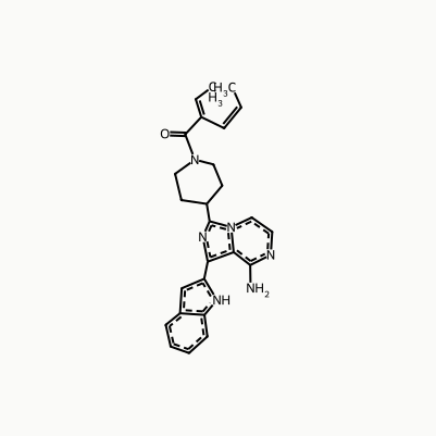 C/C=C\C(=C/C)C(=O)N1CCC(c2nc(-c3cc4ccccc4[nH]3)c3c(N)nccn23)CC1